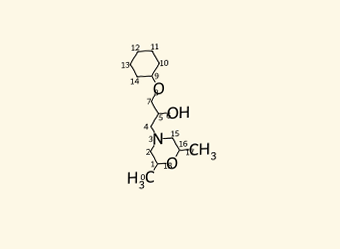 CC1CN(CC(O)COC2CCCCC2)CC(C)O1